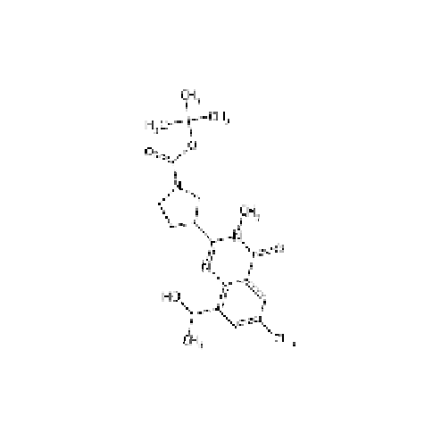 Cc1cc(C(C)O)c2nc(C3CCN(C(=O)OC(C)(C)C)C3)n(C)c(=O)c2c1